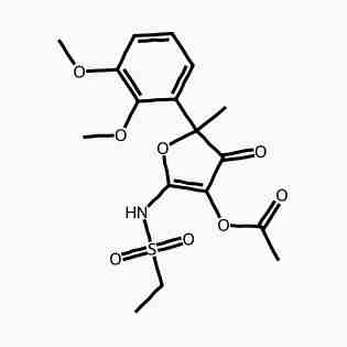 CCS(=O)(=O)NC1=C(OC(C)=O)C(=O)C(C)(c2cccc(OC)c2OC)O1